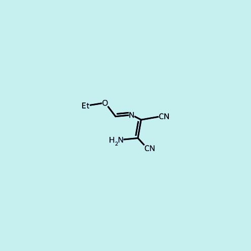 CCOC=NC(C#N)=C(N)C#N